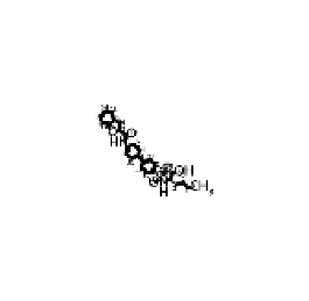 CCCC[C@@H](NS(=O)(=O)c1ccc(-c2ccc(NC(=O)c3cc4ccccc4o3)cc2)cc1)C(=O)O